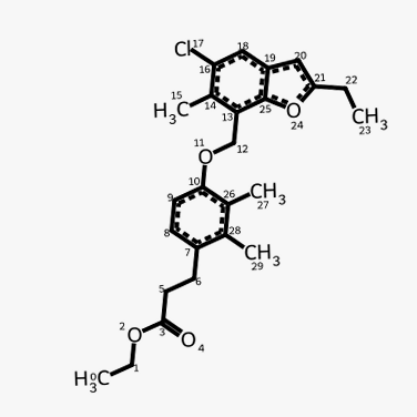 CCOC(=O)CCc1ccc(OCc2c(C)c(Cl)cc3cc(CC)oc23)c(C)c1C